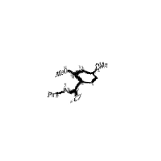 COc1ccc(C(Cl)=NC(C)C)c(OC)c1